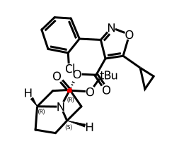 CC(C)(C)OC(=O)N1[C@@H]2CC[C@H]1C[C@@H](OC(=O)c1c(-c3ccccc3Cl)noc1C1CC1)C2